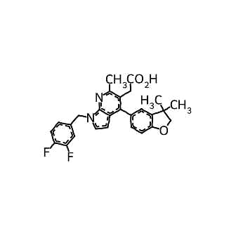 Cc1nc2c(ccn2Cc2ccc(F)c(F)c2)c(-c2ccc3c(c2)C(C)(C)CO3)c1CC(=O)O